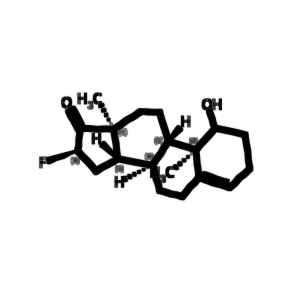 C[C@]12CC[C@H]3[C@@H](CCC4=CCCC(O)[C@@]43C)[C@@H]1C[C@@H](F)C2=O